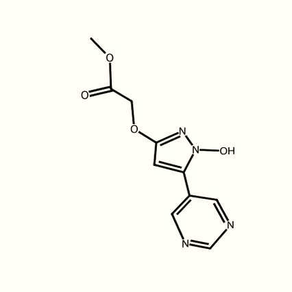 COC(=O)COc1cc(-c2cncnc2)n(O)n1